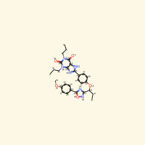 CCCn1c(=O)c2[nH]c(-c3ccc(OC(CC)c4noc(-c5ccc(OC)cc5)n4)cc3)nc2n(CCC)c1=O